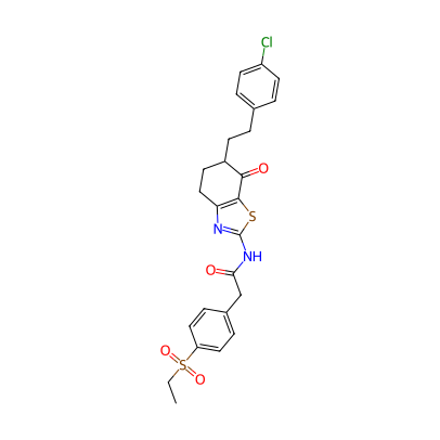 CCS(=O)(=O)c1ccc(CC(=O)Nc2nc3c(s2)C(=O)C(CCc2ccc(Cl)cc2)CC3)cc1